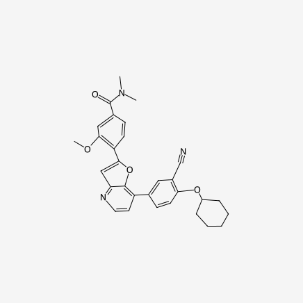 COc1cc(C(=O)N(C)C)ccc1-c1cc2nccc(-c3ccc(OC4CCCCC4)c(C#N)c3)c2o1